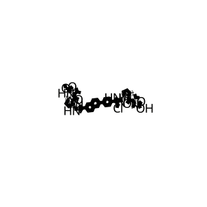 COC(=O)N[C@H](C(=O)N1[C@@H](C)CC[C@H]1c1nc(-c2ccc3cc(-c4ccc(-c5[nH]c([C@@H]6CC[C@H](C)N6C(=O)[C@H](C(C)C)N(C)C(=O)O)nc5Cl)cc4)ccc3c2)c[nH]1)C(C)C